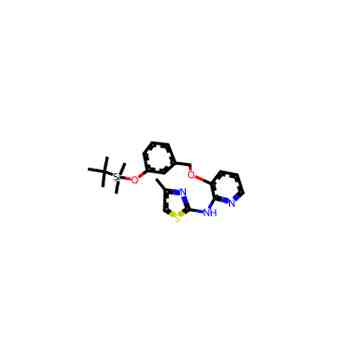 Cc1csc(Nc2ncccc2OCc2cccc(O[Si](C)(C)C(C)(C)C)c2)n1